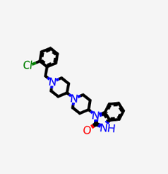 O=c1[nH]c2ccccc2n1C1CCN(C2CCN(Cc3ccccc3Cl)CC2)CC1